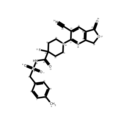 Cc1ccc(CS(=O)(=O)NC(=O)C2(F)CCN(c3nc4c(cc3C#N)C(=O)OC4)CC2)cc1